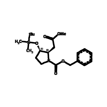 COC(=O)C[C@@H]1[C@@H](O[Si](C)(C)C(C)(C)C)CCN1C(=O)OCc1ccccc1